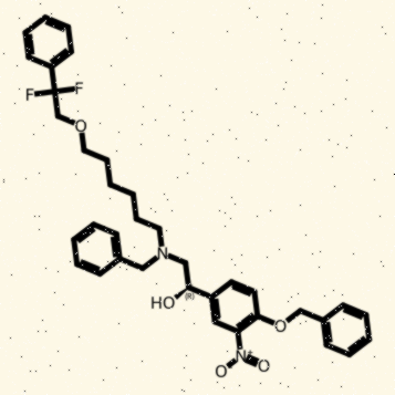 O=[N+]([O-])c1cc([C@@H](O)CN(CCCCCCOCC(F)(F)c2ccccc2)Cc2ccccc2)ccc1OCc1ccccc1